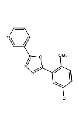 COc1ccc(Cl)cc1-c1nnc(-c2cccnc2)o1